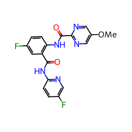 COc1cnc(C(=O)Nc2ccc(F)cc2C(=O)Nc2ccc(F)cn2)nc1